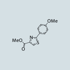 COC(=O)c1csc(-c2ccc(OC)cc2)n1